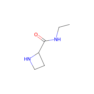 CCNC(=O)C1CCN1